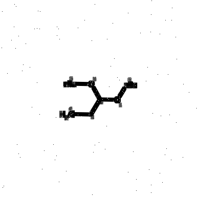 CCCCOC([CH2][AlH2])OCCCC